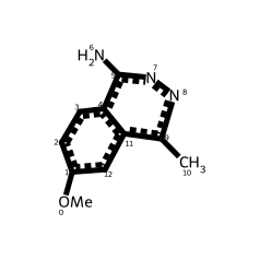 COc1ccc2c(N)nnc(C)c2c1